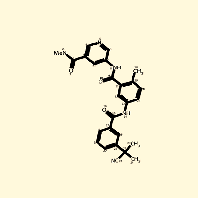 CNC(=O)c1cncc(NC(=O)c2cc(NC(=O)c3cccc(C(C)(C)C#N)c3)ccc2C)c1